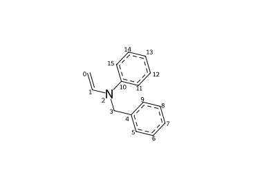 C=CN(Cc1ccccc1)c1ccccc1